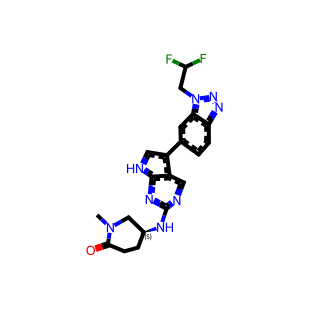 CN1C[C@@H](Nc2ncc3c(-c4ccc5nnn(CC(F)F)c5c4)c[nH]c3n2)CCC1=O